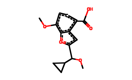 COc1ccc(C(=O)O)c2cc(C(OC)C3CC3)oc12